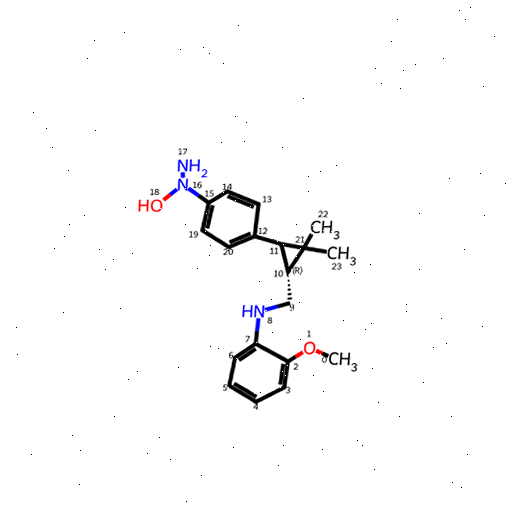 COc1ccccc1NC[C@@H]1C(c2ccc(N(N)O)cc2)C1(C)C